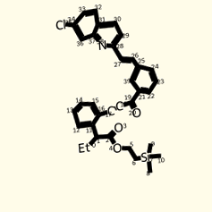 CCC(C(=O)OCC[Si](C)(C)C)c1ccccc1CCC(=O)c1cccc(/C=C/c2ccc3ccc(Cl)cc3n2)c1